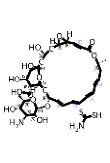 C[C@@H]1C/C=C/C=C/C=C/C=C/[C@H](O[C@@H]2O[C@H](C)[C@@H](O)[C@H](N)[C@@H]2O)C[C@@H]2O[C@](O)(C[C@@H](O)C[C@H]3O[C@@H]3/C=C/C(=O)O1)C[C@H](O)[C@H]2C(=O)O.NC(=S)S